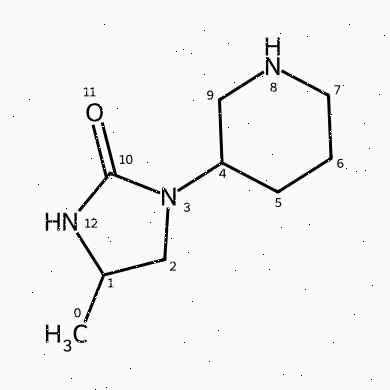 CC1CN(C2CCCNC2)C(=O)N1